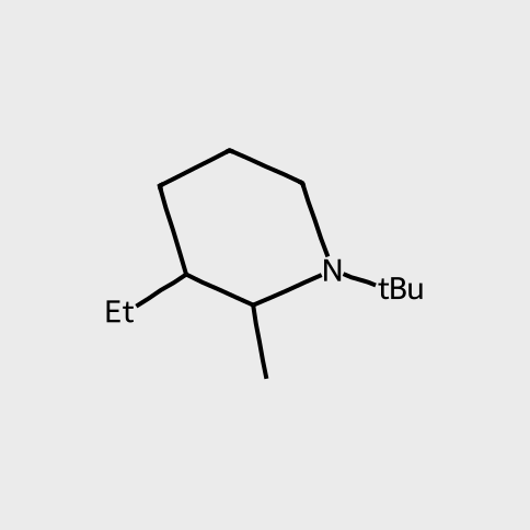 CCC1CCCN(C(C)(C)C)C1C